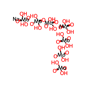 [Na].[O]=[Mo](=[O])([OH])[OH].[O]=[Mo](=[O])([OH])[OH].[O]=[Mo](=[O])([OH])[OH].[O]=[Mo](=[O])([OH])[OH].[O]=[Mo](=[O])([OH])[OH].[O]=[Mo](=[O])([OH])[OH].[O]=[Mo](=[O])([OH])[OH]